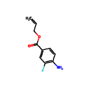 C=CCOC(=O)c1ccc(N)c(F)c1